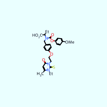 CCC(C(=O)O)N(Cc1ccc(OCCn2c(=O)cc(C)n(CC)c2=S)cc1)C(=O)Oc1ccc(OC)cc1